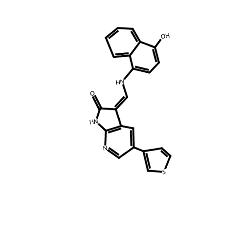 O=C1Nc2ncc(-c3ccsc3)cc2C1=CNc1ccc(O)c2ccccc12